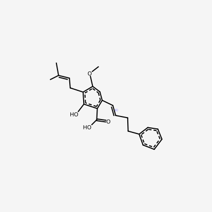 COc1cc(/C=C/CCc2ccccc2)c(C(=O)O)c(O)c1CC=C(C)C